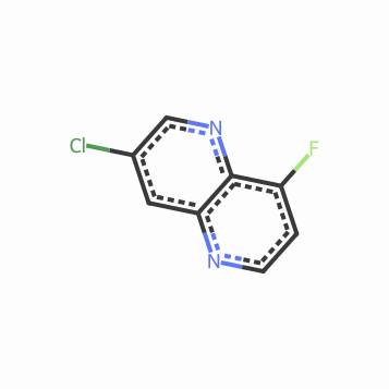 Fc1ccnc2cc(Cl)cnc12